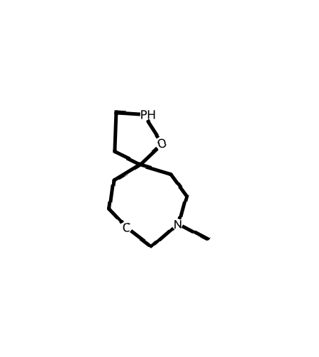 CN1CCCCC2(CCPO2)CC1